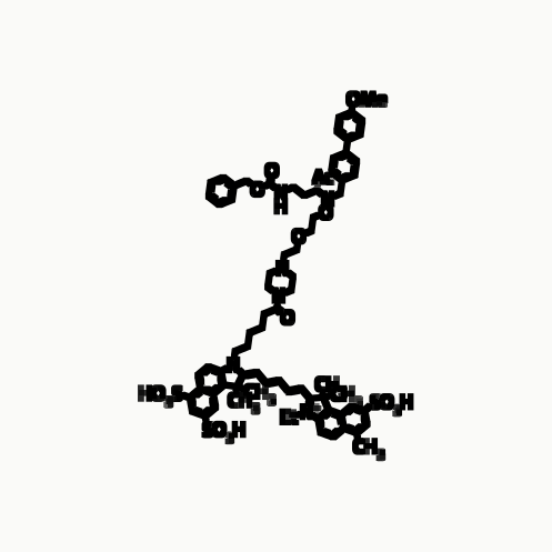 CC[N+]1=C(/C=C/C=C/C=C2/N(CCCCCC(=O)N3CCN(CCOCCON(Cc4ccc(-c5ccc(OC)cc5)cc4)[C@H](CCNC(=O)OCc4ccccc4)C(C)=O)CC3)c3ccc4c(S(=O)(=O)O)cc(S(=O)(=O)O)cc4c3C2(C)C)C(C)(C)c2c1ccc1c(C)cc(S(=O)(=O)O)cc21